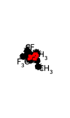 Cc1cccc(-c2ccc3c4ccccc4n(-c4ccc(C(F)(F)F)cc4-c4nc(-c5ccccc5)nc(-c5cc(C(F)(F)F)ccc5-n5c6ccccc6c6ccc(-c7cccc(C)c7)cc65)n4)c3c2)c1